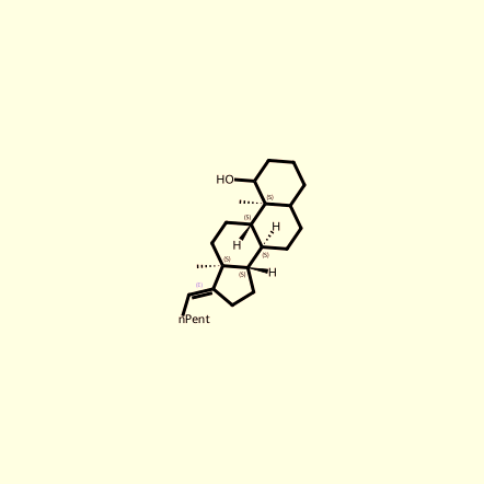 CCCCC/C=C1\CC[C@H]2[C@@H]3CCC4CCCC(O)[C@]4(C)[C@H]3CC[C@]12C